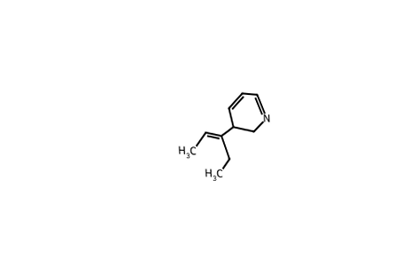 C/C=C(\CC)C1C=CC=NC1